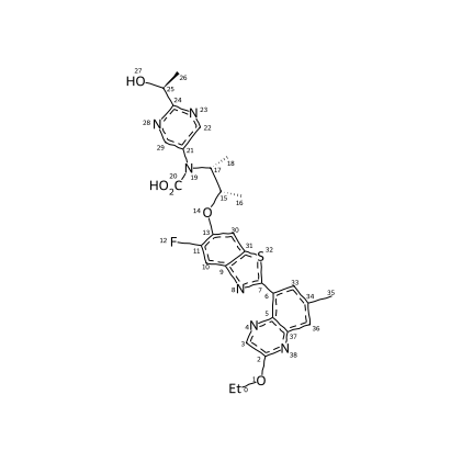 CCOc1cnc2c(-c3nc4cc(F)c(O[C@@H](C)[C@@H](C)N(C(=O)O)c5cnc([C@H](C)O)nc5)cc4s3)cc(C)cc2n1